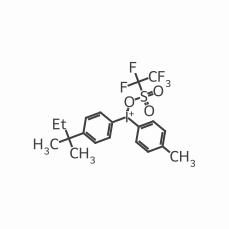 CCC(C)(C)c1ccc([I+](OS(=O)(=O)C(F)(F)C(F)(F)F)c2ccc(C)cc2)cc1